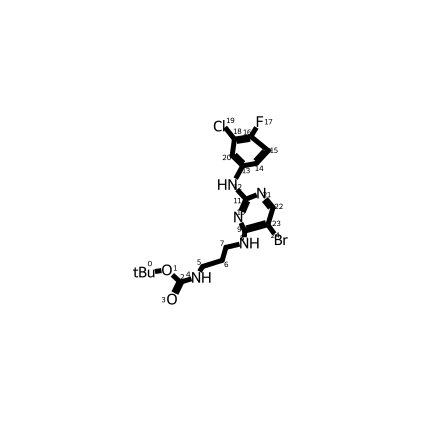 CC(C)(C)OC(=O)NCCCNc1nc(Nc2ccc(F)c(Cl)c2)ncc1Br